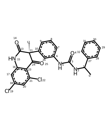 CC(NC(=O)Nc1cccc([C@]2(C)C(=O)Nc3cc(Cl)cc(Cl)c3C2=O)c1)c1ccccc1